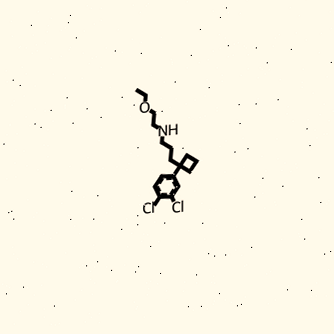 CCOCCNCCCC1(c2ccc(Cl)c(Cl)c2)CCC1